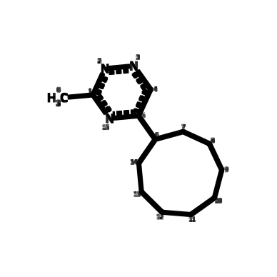 Cc1nncc(C2CCCCCCCC2)n1